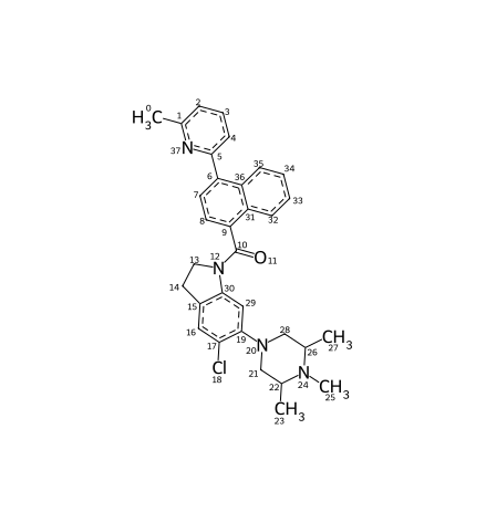 Cc1cccc(-c2ccc(C(=O)N3CCc4cc(Cl)c(N5CC(C)N(C)C(C)C5)cc43)c3ccccc23)n1